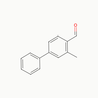 Cc1cc(-c2ccccc2)c[c]c1C=O